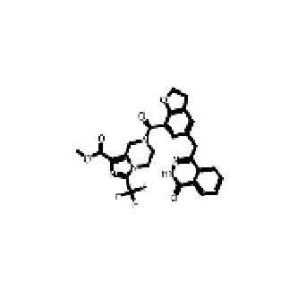 COC(=O)c1nc(C(F)(F)F)n2c1CN(C(=O)c1cc(Cc3n[nH]c(=O)c4ccccc34)cc3c1OCC3)CC2